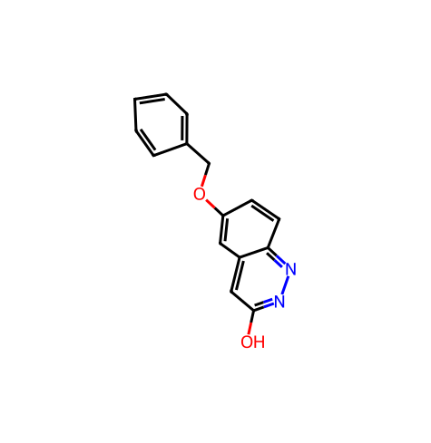 Oc1cc2cc(OCc3ccccc3)ccc2nn1